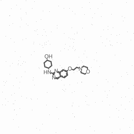 O[C@H]1CC[C@H](Nc2ncc3ccc(OCCN4CCOCC4)cc3n2)CC1